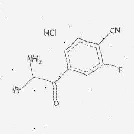 CC(C)C(N)C(=O)c1ccc(C#N)c(F)c1.Cl